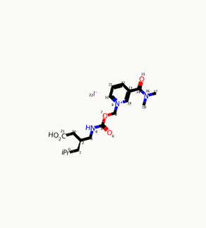 CC(C)C[C@H](CNC(=O)OC[n+]1cccc(C(=O)N(C)C)c1)CC(=O)O.[I-]